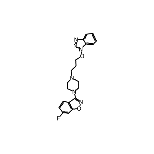 Fc1ccc2c(N3CCN(CCCOn4nnc5ccccc54)CC3)noc2c1